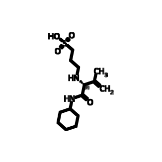 C=C(C)[C@@H](NCCCS(=O)(=O)O)C(=O)NC1CCCCC1